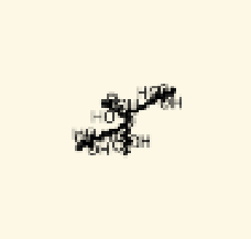 C=CC(=O)C(O)C(O)CCCCCCC(CC(O)C(O)C(=O)C=C)OC(CCCCCCC(O)C(O)C(=O)C=C)CC(O)C(O)C(=O)C=C